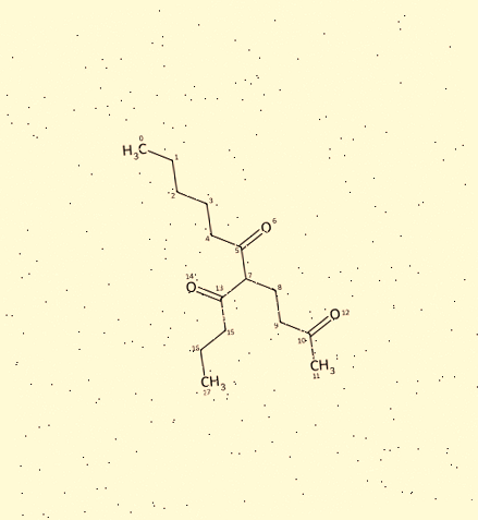 CCCCCC(=O)C(CCC(C)=O)C(=O)CCC